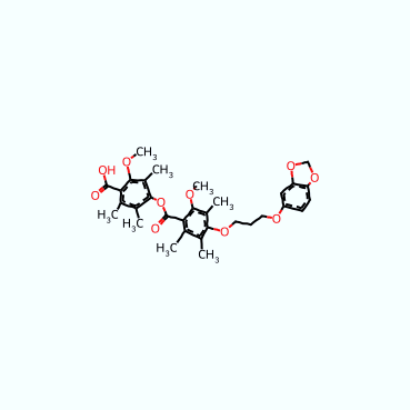 COc1c(C)c(OC(=O)c2c(C)c(C)c(OCCCOc3ccc4c(c3)OCO4)c(C)c2OC)c(C)c(C)c1C(=O)O